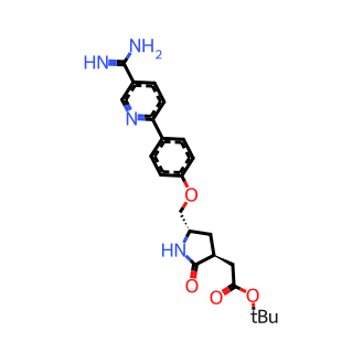 CC(C)(C)OC(=O)C[C@@H]1C[C@@H](COc2ccc(-c3ccc(C(=N)N)cn3)cc2)NC1=O